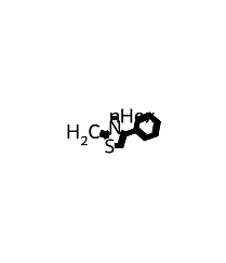 C=C1SC=C(c2ccccc2)N1CCCCCC